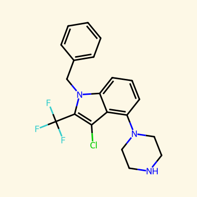 FC(F)(F)c1c(Cl)c2c(N3CCNCC3)cccc2n1Cc1ccccc1